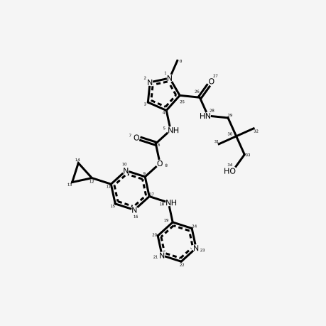 Cn1ncc(NC(=O)Oc2nc(C3CC3)cnc2Nc2cncnc2)c1C(=O)NCC(C)(C)CO